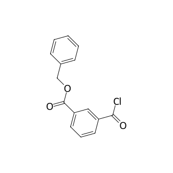 O=C(Cl)c1cccc(C(=O)OCc2ccccc2)c1